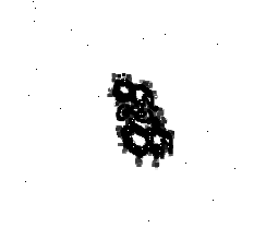 Cc1cncc2cccc(S(=O)(=O)[C@H]3c4ccccc4C=CN3C)c12